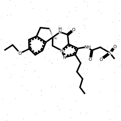 CCCCCc1nn2c(c1NC(=O)CS(C)(=O)=O)C(=O)N[C@@]1(CCc3cc(OCC)ccc31)C2